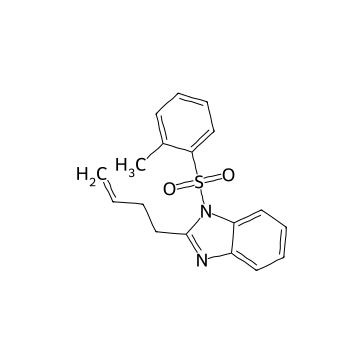 C=CCCc1nc2ccccc2n1S(=O)(=O)c1ccccc1C